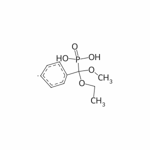 CCOC(OC)(c1cc[c]cc1)P(=O)(O)O